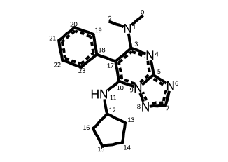 CN(C)c1nc2ncnn2c(NC2CCCC2)c1-c1ccccc1